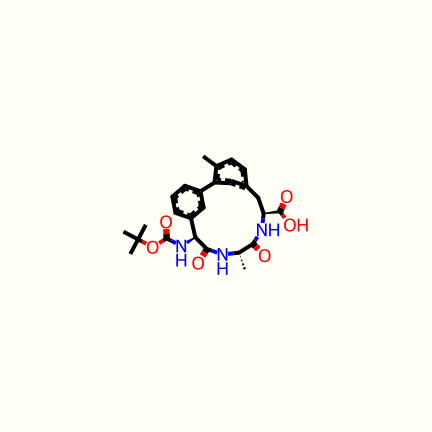 Cc1ccc2cc1-c1cccc(c1)[C@H](NC(=O)OC(C)(C)C)C(=O)N[C@@H](C)C(=O)N[C@H](C(=O)O)C2